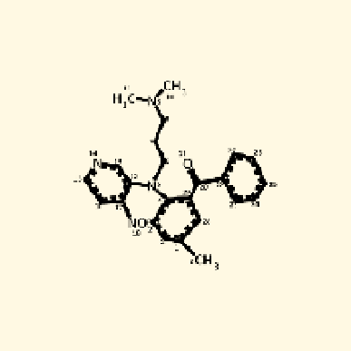 Cc1ccc(N(CCCN(C)C)c2cnccc2[N+](=O)[O-])c(C(=O)c2ccccc2)c1